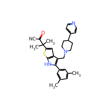 Cc1cc(C)cc(-c2[nH]c3sc(C(C)(C)C(=O)C#N)cc3c2CN2CCC(c3ccncc3)CC2)c1